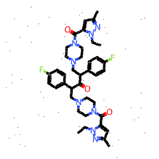 CCn1nc(C)cc1C(=O)N1CCN(CC(C(=O)C(CN2CCN(C(=O)c3cc(C)nn3CC)CC2)c2ccc(F)cc2)c2ccc(F)cc2)CC1